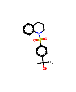 CC(O)(c1ccc(S(=O)(=O)N2CCCc3ccccc32)cc1)C(F)(F)F